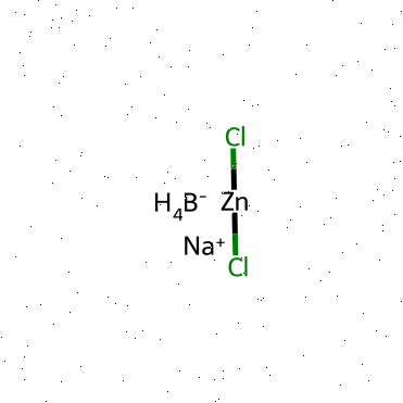 [BH4-].[Cl][Zn][Cl].[Na+]